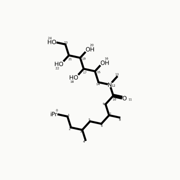 CC(C)CCC(C)CCC(C)CC(=O)N(C)CC(O)C(O)C(O)C(O)CO